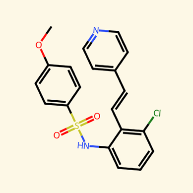 COc1ccc(S(=O)(=O)Nc2cccc(Cl)c2C=Cc2ccncc2)cc1